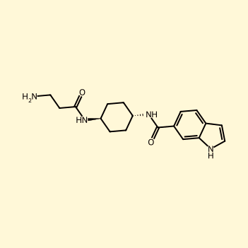 NCCC(=O)N[C@H]1CC[C@H](NC(=O)c2ccc3cc[nH]c3c2)CC1